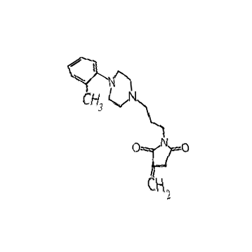 C=C1CC(=O)N(CCCN2CCN(c3ccccc3C)CC2)C1=O